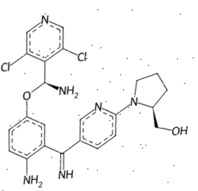 N=C(c1ccc(N2CCC[C@H]2CO)nc1)c1cc(O[C@H](N)c2c(Cl)cncc2Cl)ccc1N